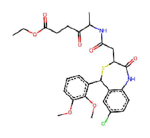 CCOC(=O)CCC(=O)C(C)NC(=O)CC1SC(c2cccc(OC)c2OC)c2cc(Cl)ccc2NC1=O